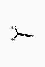 [2H]C(C)=[N+]=[N-]